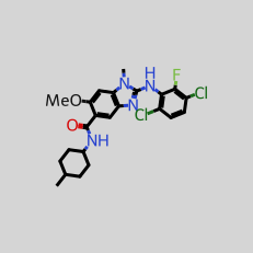 COc1cc2c(cc1C(=O)NC1CCC(C)CC1)nc(Nc1c(Cl)ccc(Cl)c1F)n2C